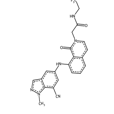 Cn1ncc2cc(Nc3cccc4ccn(CC(=O)NCC(F)(F)F)c(=O)c34)cc(C#N)c21